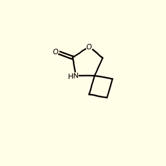 O=C1NC2(CCC2)CO1